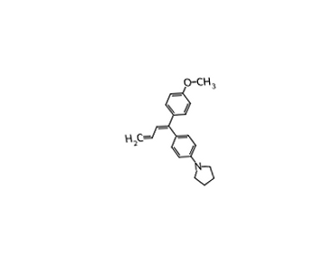 C=CC=C(c1ccc(OC)cc1)c1ccc(N2CCCC2)cc1